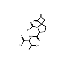 CC(C)C(=O)N1C(C(=O)NC(C(N)=O)C(C)O)CCC12CNC2=O